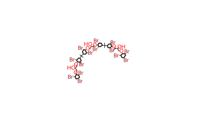 CC(Oc1c(Br)cc(C(C)(C)c2cc(Br)c(OCC(O)COc3c(Br)cc(C(C)(C)c4cc(Br)c(OCC(O)COc5c(Br)cc(Br)cc5Br)c(Br)c4)cc3Br)c(Br)c2)cc1Br)C(O)COc1c(Br)cc(Br)cc1Br